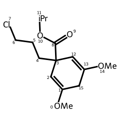 COC1=CC(CCCCl)(C(=O)OC(C)C)C=C(OC)C1